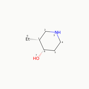 CC[C@@H]1CNCC[C@@H]1O